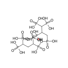 O=P(O)(CC(C(P(=O)(O)O)P(=O)(O)O)P(=O)(O)O)OP(=O)(O)C(CC(P(=O)(O)O)P(=O)(O)O)P(=O)(O)O